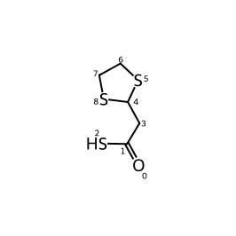 O=C(S)CC1SCCS1